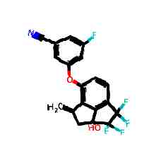 C=C1C[C@@]2(O)c3c(ccc(Oc4cc(F)cc(C#N)c4)c31)C(F)(F)C2(F)F